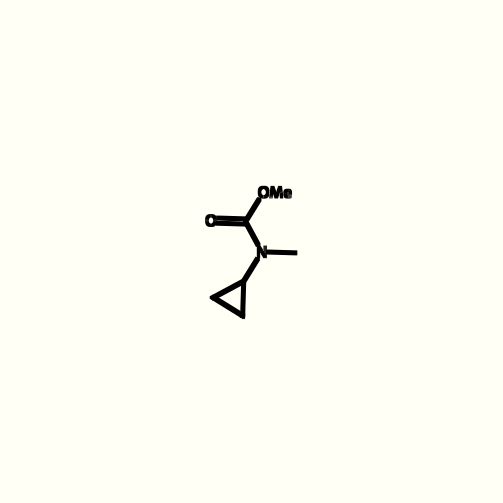 COC(=O)N(C)C1CC1